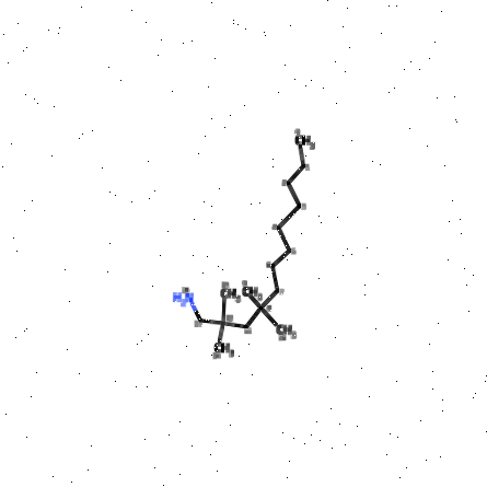 CCCCCCCCC(C)(C)CC(C)(C)CN